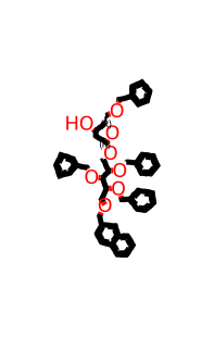 OC1C[C@H](OCC(OCc2ccccc2)C(OCc2ccccc2)C(COCc2ccc3ccccc3c2)OCc2ccccc2)O[C@@H]1COCc1ccccc1